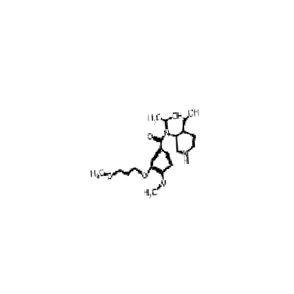 COCCCOc1cc(C(=O)N(C(C)C)C2CNCCC2CO)ccc1OC